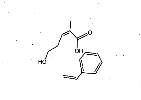 C=Cc1ccccc1.CC(=CCCO)C(=O)O